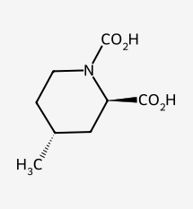 C[C@@H]1CCN(C(=O)O)[C@@H](C(=O)O)C1